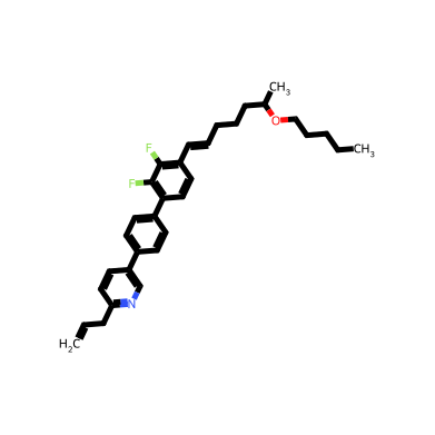 C=CCc1ccc(-c2ccc(-c3ccc(/C=C/CCCC(C)OCCCCC)c(F)c3F)cc2)cn1